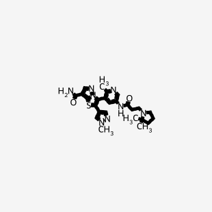 Cc1ncc(NC(=O)CCN2CCCC2(C)C)cc1-c1c(-c2cnn(C)c2)sc2c(C(N)=O)cnn12